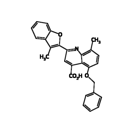 Cc1c(-c2cc(C(=O)O)c3c(OCc4ccccc4)ccc(C)c3n2)oc2ccccc12